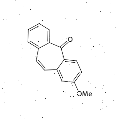 COc1ccc2c(=O)c3ccccc3ccc2c1